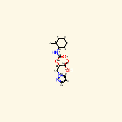 CC1CCCCC1NC(=O)OC(Cn1cccn1)C(=O)O